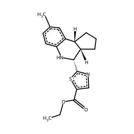 CCOC(=O)c1cnc([C@@H]2Nc3ccc(C)cc3[C@@H]3CCC[C@@H]32)s1